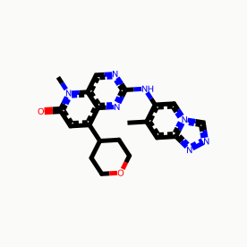 Cc1cc2nncn2cc1Nc1ncc2c(n1)c(C1CCOCC1)cc(=O)n2C